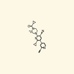 C#Cc1cc(-c2cc(C#N)c(N3CCN(C(=O)C4CC4)[C@H](C)C3)nc2C2CC2)ccn1